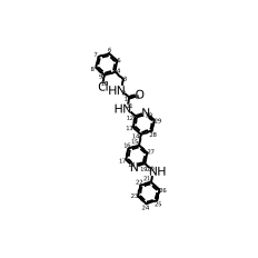 O=C(NCc1ccccc1Cl)Nc1cc(-c2ccnc(Nc3ccccc3)c2)ccn1